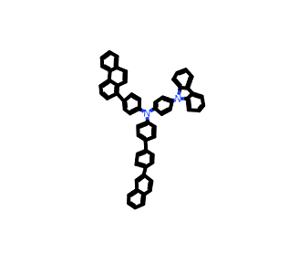 c1ccc2cc(-c3ccc(-c4ccc(N(c5ccc(-c6cccc7c6ccc6ccccc67)cc5)c5ccc(-n6c7ccccc7c7ccccc76)cc5)cc4)cc3)ccc2c1